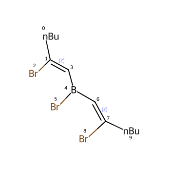 CCCC/C(Br)=C/B(Br)/C=C(\Br)CCCC